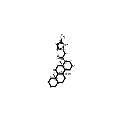 C[C@]12CCCCC1CC[C@@H]1C2CC[C@@]2(C)C1CCC[C@@H]2C(=O)Cn1ccc(C#N)n1